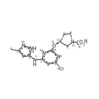 Cc1cc(Nc2cc(Cl)nc(O[C@H]3CCN(C(=O)O)C3)n2)[nH]n1